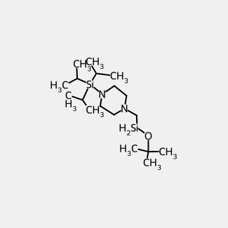 CC(C)[Si](C(C)C)(C(C)C)N1CCN(C[SiH2]OC(C)(C)C)CC1